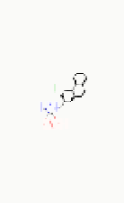 CC(CO)(CO)NCc1ccc2c(ccc3ccccc32)c1.Cl